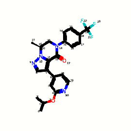 CC(C)Oc1cc(-c2cnn3c2C(=O)N(c2ccc(C(F)(F)F)cc2)C[C@@H]3C)ccn1